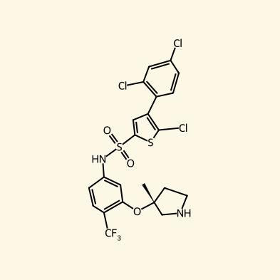 C[C@@]1(Oc2cc(NS(=O)(=O)c3cc(-c4ccc(Cl)cc4Cl)c(Cl)s3)ccc2C(F)(F)F)CCNC1